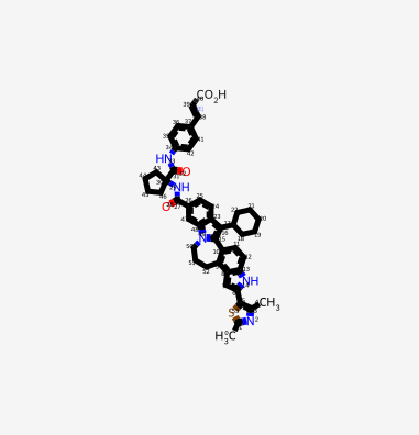 Cc1nc(C)c(-c2cc3c4c(ccc3[nH]2)-c2c(C3CCCCC3)c3ccc(C(=O)NC5(C(=O)Nc6ccc(/C=C/C(=O)O)cc6)CCCC5)cc3n2CCC4)s1